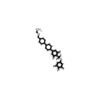 CCOCC1CCC(C2CCC(c3cc(F)c(C(F)(F)Oc4cc(F)c(F)c(F)c4)c(F)c3)CC2)CC1